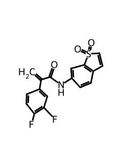 C=C(C(=O)Nc1ccc2c(c1)S(=O)(=O)C=C2)c1ccc(F)c(F)c1